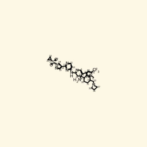 Cn1nc(C2=CN=C(Nc3ccnc(-c4cnn(S(=O)(=O)C5CC5)c4)n3)CC2(N)C2CCC(CN3CCC3)CC2)cc1C(F)(F)F